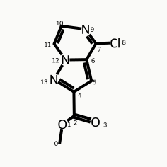 COC(=O)c1cc2c(Cl)nccn2n1